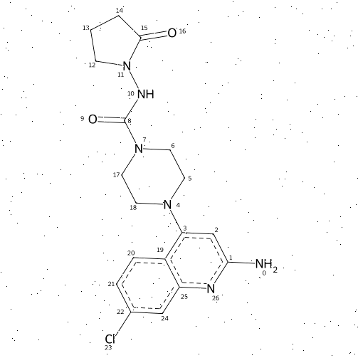 Nc1cc(N2CCN(C(=O)NN3CCCC3=O)CC2)c2ccc(Cl)cc2n1